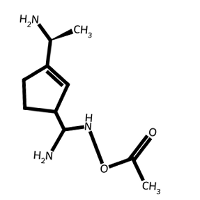 CC(=O)ONC(N)C1C=C([C@H](C)N)CC1